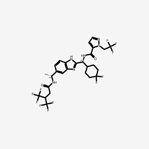 C[C@@H](NC(=O)CC(C(F)(F)F)C(F)(F)F)c1ccc2[nH]c([C@@H](NC(=O)c3ccnn3CC(F)(F)F)C3CCC(F)(F)CC3)nc2c1